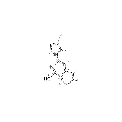 Cc1ccn(-c2nc(O)c3[c]cccc3n2)n1